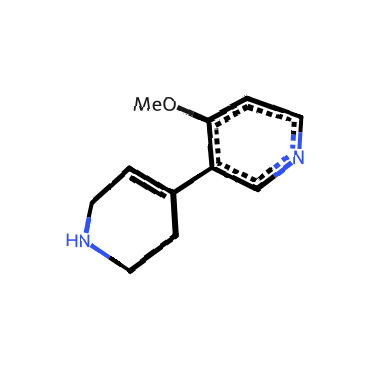 COc1ccncc1C1=CCNCC1